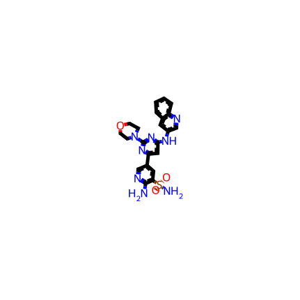 Nc1ncc(-c2cc(Nc3cnc4ccccc4c3)nc(N3CCOCC3)n2)cc1S(N)(=O)=O